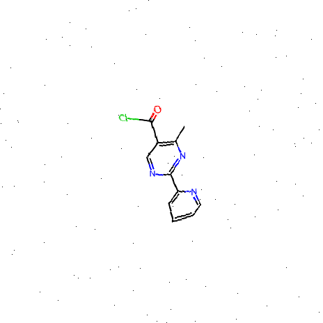 Cc1nc(-c2ccccn2)ncc1C(=O)Cl